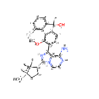 CCOc1cc(C(C)(O)c2cccc(C(F)(F)F)c2)ccc1-c1nc([C@@H]2CC[C@](C)(C(=O)O)C2(C)C)n2ccnc(N)c12